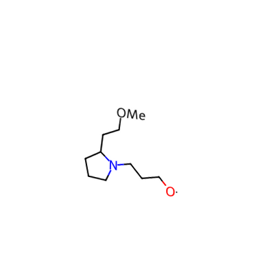 COCCC1CCCN1CCC[O]